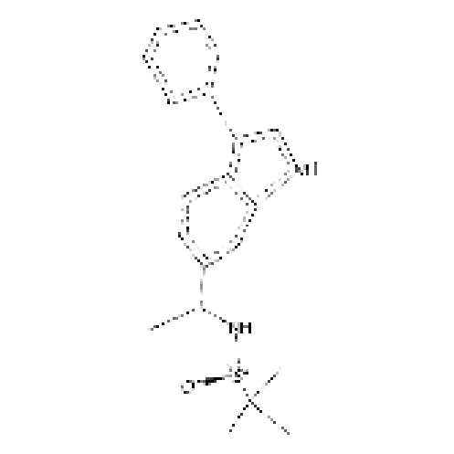 CC(N[S@+]([O-])C(C)(C)C)c1ccc2c(-c3ccccc3)c[nH]c2c1